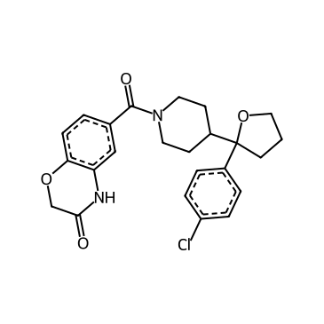 O=C1COc2ccc(C(=O)N3CCC(C4(c5ccc(Cl)cc5)CCCO4)CC3)cc2N1